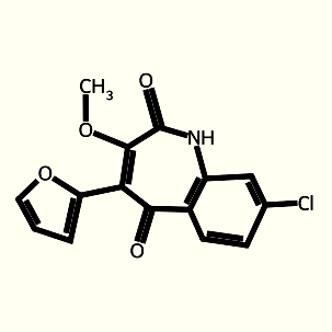 COc1c(-c2ccco2)c(=O)c2ccc(Cl)cc2[nH]c1=O